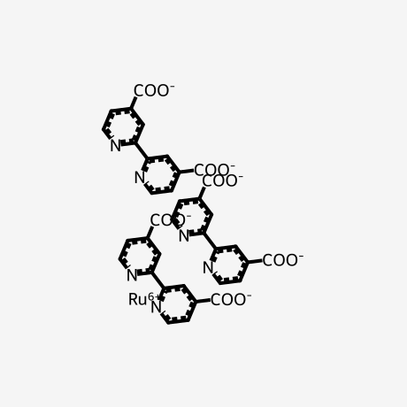 O=C([O-])c1ccnc(-c2cc(C(=O)[O-])ccn2)c1.O=C([O-])c1ccnc(-c2cc(C(=O)[O-])ccn2)c1.O=C([O-])c1ccnc(-c2cc(C(=O)[O-])ccn2)c1.[Ru+6]